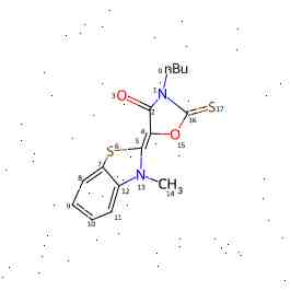 CCCCN1C(=O)/C(=C2\Sc3ccccc3N2C)OC1=S